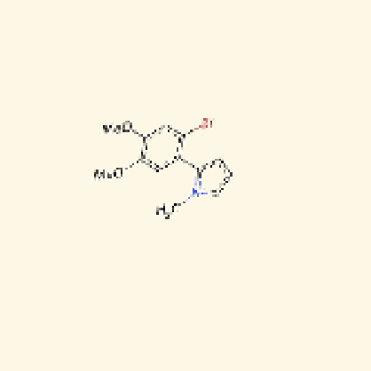 COc1cc(Br)c(-c2cccn2C)cc1OC